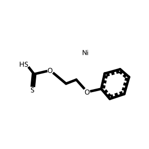 S=C(S)OCCOc1ccccc1.[Ni]